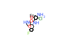 CCOc1cc(N)c(Cl)cc1C(=O)NC(Cc1ccc(F)cc1)C1CNCCO1